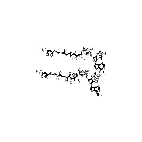 CC(O)CC(=O)SCCNC(=O)CCNC(=O)[C@H](O)C(C)(C)COP(=O)(O)OP(=O)(O)OC[C@H]1O[C@@H](n2cnc3c(N)ncnc32)[C@H](O)[C@@H]1OP(=O)(O)O.CC(O)CC(=O)SCCNC(=O)CCNC(=O)[C@H](O)C(C)(C)COP(=O)(O)OP(=O)(O)OC[C@H]1O[C@H](n2cnc3c(N)ncnc32)[C@H](O)[C@@H]1OP(=O)(O)O